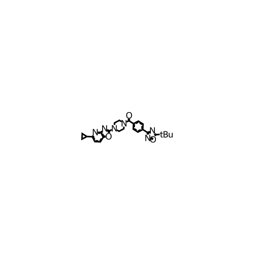 CC(C)(C)c1nc(-c2ccc(C(=O)N3CCN(c4nc5nc(C6CC6)ccc5o4)CC3)cc2)no1